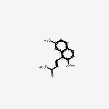 CCC(C=Cc1c(OC)ccc2ccc(OC)cc12)C(=O)O